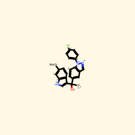 COc1ccc2c(C(O)(c3ccc4c(cnn4-c4ccc(F)cc4)c3)C(F)(F)F)c[nH]c2c1